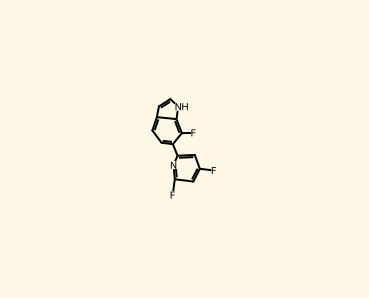 Fc1cc(F)nc(-c2ccc3cc[nH]c3c2F)c1